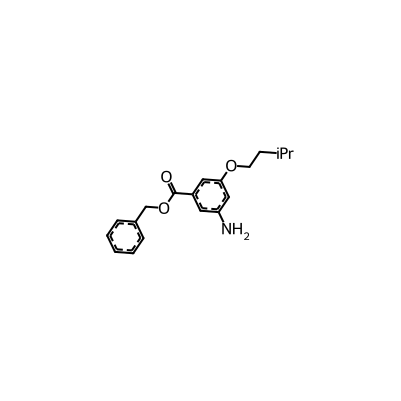 CC(C)CCOc1cc(N)cc(C(=O)OCc2ccccc2)c1